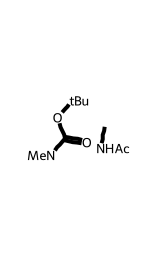 CNC(=O)OC(C)(C)C.CNC(C)=O